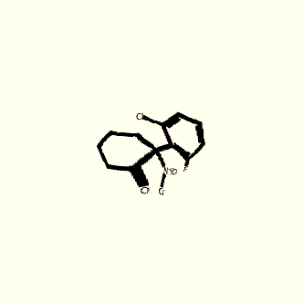 O=C1CCCCC1(c1c(F)cccc1Cl)[N+](=O)[O-]